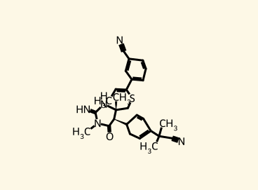 C/C=C(\SC[C@@]1(C)NC(=N)N(C)C(=O)[C@@H]1C1C=CC(C(C)(C)C#N)=CC1)c1cccc(C#N)c1